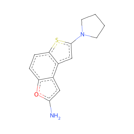 Nc1cc2c(ccc3sc(N4CCCC4)cc32)o1